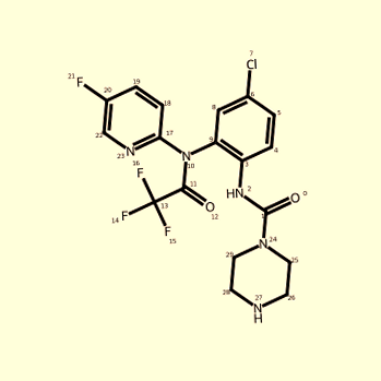 O=C(Nc1ccc(Cl)cc1N(C(=O)C(F)(F)F)c1ccc(F)cn1)N1CCNCC1